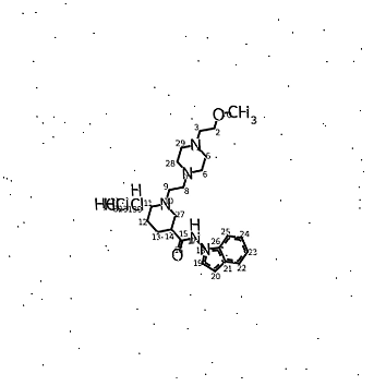 COCCN1CCN(CCN2CCCC(C(=O)Nn3ccc4ccccc43)C2)CC1.Cl.Cl.Cl